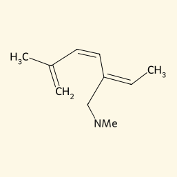 C=C(C)/C=C\C(=C/C)CNC